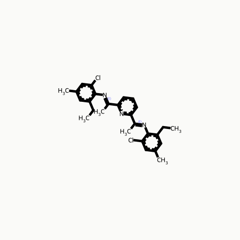 CCc1cc(C)cc(Cl)c1/N=C(\C)c1cccc(/C(C)=N/c2c(Cl)cc(C)cc2CC)n1